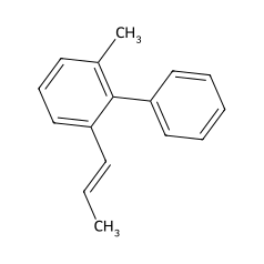 CC=Cc1cccc(C)c1-c1ccccc1